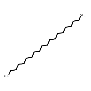 [SiH3]CCCCCCCCCCCCCCCCCCC(Cl)(Cl)Cl